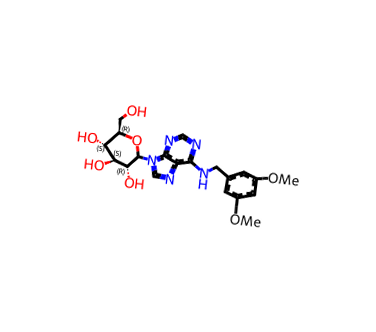 COc1cc(CNc2ncnc3c2ncn3C2O[C@H](CO)[C@@H](O)[C@H](O)[C@H]2O)cc(OC)c1